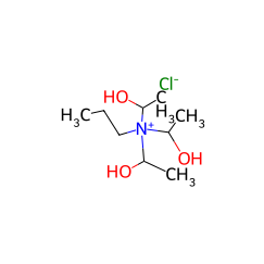 CCC[N+](C(C)O)(C(C)O)C(C)O.[Cl-]